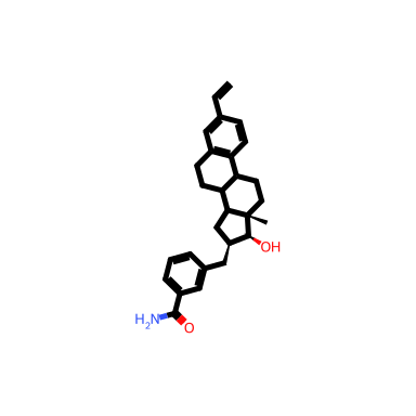 C=Cc1ccc2c(c1)CCC1C2CC[C@@]2(C)C1C[C@H](Cc1cccc(C(N)=O)c1)[C@@H]2O